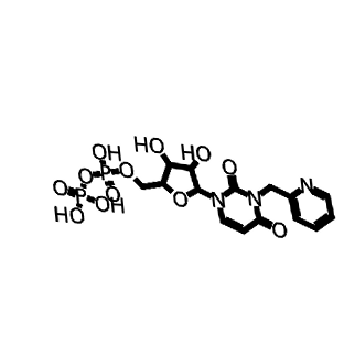 O=c1ccn(C2OC(COP(=O)(O)OP(=O)(O)O)C(O)C2O)c(=O)n1Cc1ccccn1